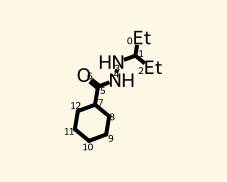 CCC(CC)NNC(=O)C1CCCCC1